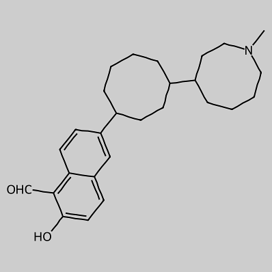 CN1CCCCC(C2CCCCC(c3ccc4c(C=O)c(O)ccc4c3)CC2)CC1